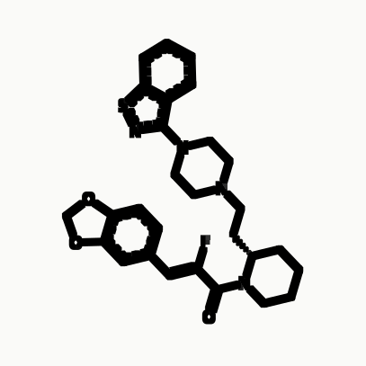 O=C(/C(F)=C/c1ccc2c(c1)OCO2)N1CCCC[C@H]1CCN1CCN(c2nsc3ccccc23)CC1